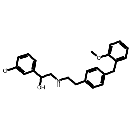 COc1ccccc1Cc1ccc(CCNCC(O)c2cccc(Cl)c2)cc1